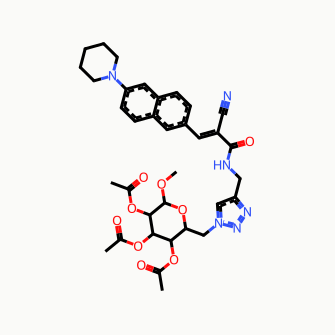 COC1OC(Cn2cc(CNC(=O)/C(C#N)=C/c3ccc4cc(N5CCCCC5)ccc4c3)nn2)C(OC(C)=O)C(OC(C)=O)C1OC(C)=O